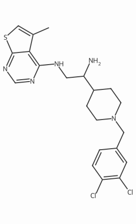 Cc1csc2ncnc(NCC(N)C3CCN(Cc4ccc(Cl)c(Cl)c4)CC3)c12